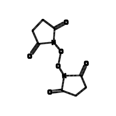 O=C1CCC(=O)N1OON1C(=O)CCC1=O